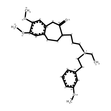 CCN(CCCC1CCc2cc(OC)c(OC)cc2CC1=O)CCc1cccc(OC)c1